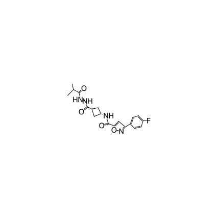 CC(C)C(=O)NNC(=O)[C@H]1C[C@H](NC(=O)c2cc(-c3ccc(F)cc3)no2)C1